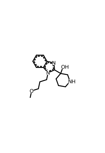 COCCCn1c(C2(O)CCCNC2)nc2ccccc21